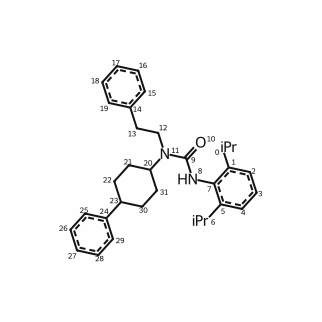 CC(C)c1cccc(C(C)C)c1NC(=O)N(CCc1ccccc1)C1CCC(c2ccccc2)CC1